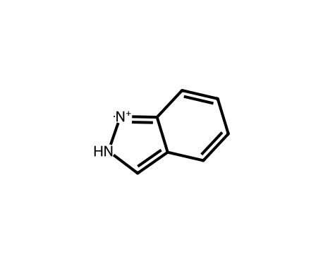 C1=c2ccccc2=[N+]N1